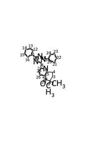 CC1(C)CCc2nc(-c3nc(-c4ccccc4)nn3-c3ccccc3)ccc2C1=O